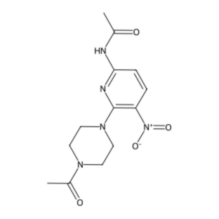 CC(=O)Nc1ccc([N+](=O)[O-])c(N2CCN(C(C)=O)CC2)n1